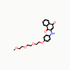 COCCOCCOCCOc1ccc(NC2=CC(=O)c3ccccc3C2=O)cc1